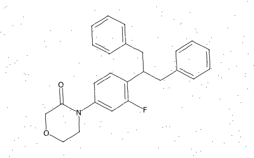 O=C1COCCN1c1ccc(C(Cc2ccccc2)Cc2ccccc2)c(F)c1